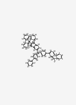 CC1(C)c2ccccc2-c2ccc(-c3ccc(N(c4ccc(-c5ccccc5)cc4)c4ccc5c(c4)nc4n5-c5ccccc5C45c4ccccc4-c4ccccc45)cc3)cc21